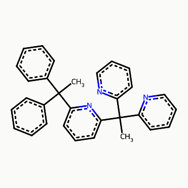 CC(c1ccccc1)(c1ccccc1)c1cccc(C(C)(c2ccccn2)c2ccccn2)n1